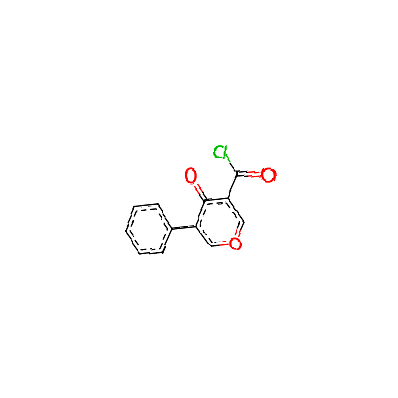 O=C(Cl)c1cocc(-c2ccccc2)c1=O